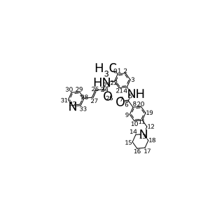 Cc1ccc(NC(=O)c2ccc(CN3CCCCC3)cc2)cc1NC(=O)C=Cc1cccnc1